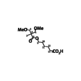 COCC(C)(COC)C(=O)OCCCCCC(=O)O